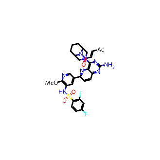 COc1ncc(-c2ccc3nc(N)nc(N4CC5CCCC(C4)N5C(=O)/C=C/C(C)=O)c3n2)cc1NS(=O)(=O)c1ccc(F)cc1F